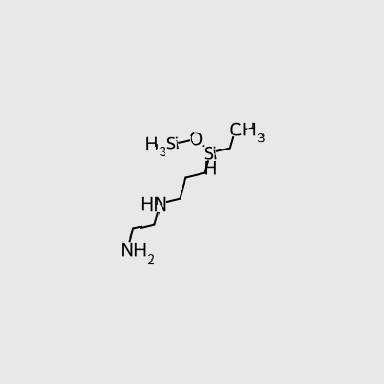 CC[SiH](CCCNCCN)O[SiH3]